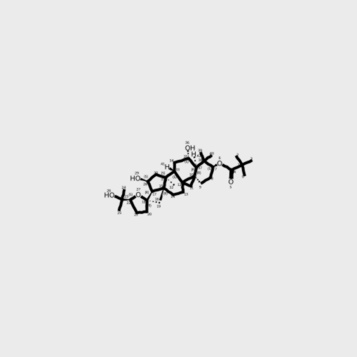 CC(C)(C)C(=O)O[C@H]1CC[C@]23CC24CC[C@]2(C)[C@@H]([C@@]5(C)CC[C@@H](C(C)(C)O)O5)[C@@H](O)C[C@@]2(C)[C@@H]4C[C@H](O)[C@H]3C1(C)C